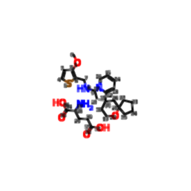 COc1ccsc1CNCC[C@@]1(c2ccccn2)CCOC2(CCCC2)C1.NC(CCC(=O)O)C(=O)O